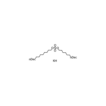 CCCCCCCCCCCCCCCCCCOS(=O)(=O)OCCCCCCCCCCCCCCCC.[KH]